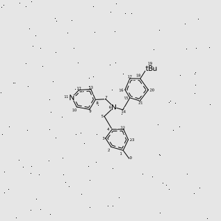 Cc1ccc(CN(Cc2ccncc2)Cc2ccc(C(C)(C)C)cc2)cc1